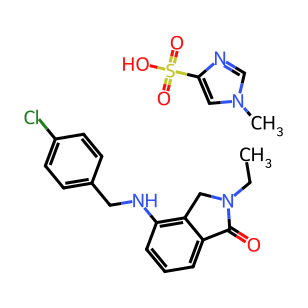 CCN1Cc2c(NCc3ccc(Cl)cc3)cccc2C1=O.Cn1cnc(S(=O)(=O)O)c1